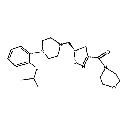 CC(C)Oc1ccccc1N1CCN(C[C@H]2CC(C(=O)N3CCOCC3)=NO2)CC1